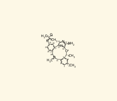 Cc1ccc2c(c1)[C@@H](C)Oc1nc(cnc1N)-c1cc(N=S(C)(C)=O)ccc1CN(C)C2